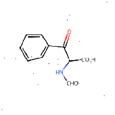 O=CNC(C(=O)O)C(=O)c1ccccc1